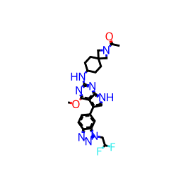 COc1nc(NC2CCC3(CC2)CN(C(C)=O)C3)nc2[nH]cc(-c3ccc4nnn(CC(F)F)c4c3)c12